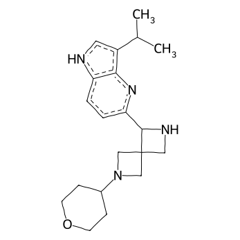 CC(C)c1c[nH]c2ccc(C3NCC34CN(C3CCOCC3)C4)nc12